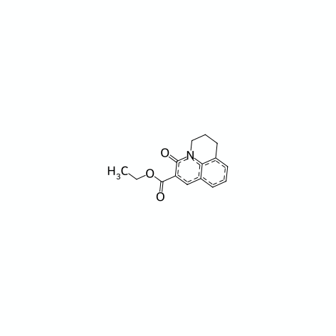 CCOC(=O)c1cc2cccc3c2n(c1=O)CCC3